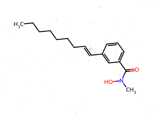 CCCCCCC/C=C/c1cccc(C(=O)N(C)O)c1